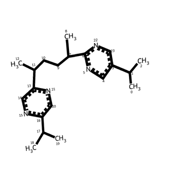 CC(C)c1cnc(C(C)CCC(C)c2cnc(C(C)C)cn2)nc1